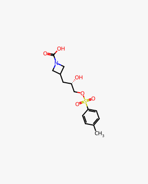 Cc1ccc(S(=O)(=O)OC[C@@H](O)CC2CN(C(=O)O)C2)cc1